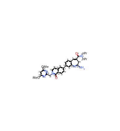 CCCN(CCC)C(=O)C1=Cc2ccc(-c3ccc4c(=O)n(Cc5nc(OC)cc(OC)n5)ccc4c3)cc2N=C(N)C1